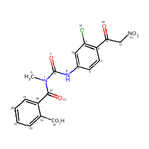 CN(C(=O)Nc1ccc(C(=O)C[N+](=O)[O-])c(Cl)c1)C(=O)c1ccccc1C(=O)O